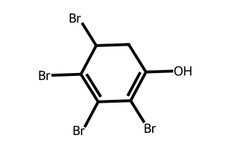 OC1=C(Br)C(Br)=C(Br)C(Br)C1